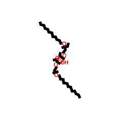 CCCCCCCCCCCCOC(C)(C)CCOC(C)(CC)P(=O)(O)C(C)(CC)OCCC(C)(CC)OCCCCCCCCCCCC